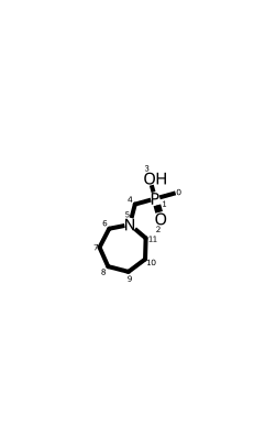 CP(=O)(O)CN1CCCCCC1